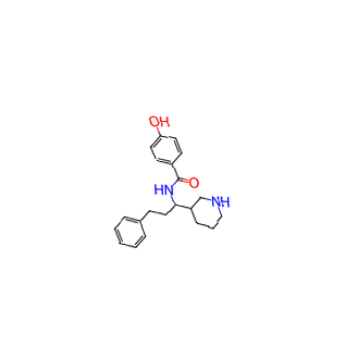 O=C(NC(CCc1ccccc1)C1CCCNC1)c1ccc(O)cc1